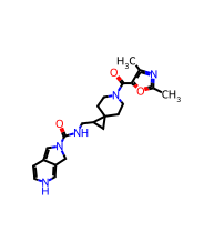 Cc1nc(C)c(C(=O)N2CCC3(CC2)CC3CNC(=O)N2C=C3C=CNC=C3C2)o1